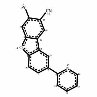 CC(C)c1cc2oc3ccc(-c4ccccn4)cc3c2cc1C#N